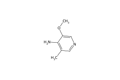 COc1cncc(C)c1N